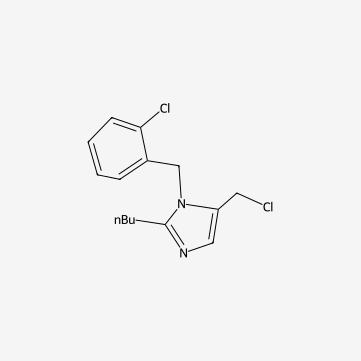 CCCCc1ncc(CCl)n1Cc1ccccc1Cl